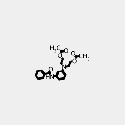 CC(=O)OCCN(CCOC(C)=O)c1cccc(NC(=O)c2ccccc2)c1